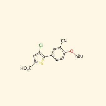 CCCCOc1ccc(-c2sc(C(=O)O)cc2Cl)cc1C#N